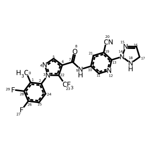 Cc1c(-n2ncc(C(=O)Nc3cnc(N4N=CCN4)c(C#N)c3)c2C(F)(F)F)ccc(F)c1F